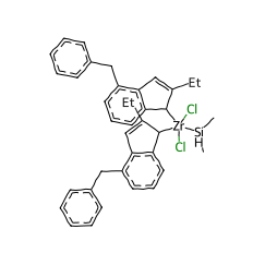 CCC1=Cc2c(Cc3ccccc3)cccc2[CH]1[Zr]([Cl])([Cl])([CH]1C(CC)=Cc2c(Cc3ccccc3)cccc21)[SiH](C)C